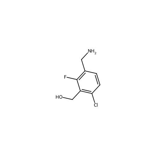 NCc1ccc(Cl)c(CO)c1F